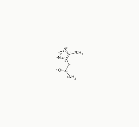 Cc1nonc1CC(N)=O